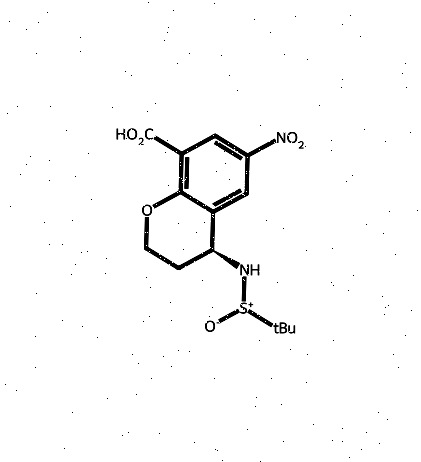 CC(C)(C)[S+]([O-])N[C@H]1CCOc2c(C(=O)O)cc([N+](=O)[O-])cc21